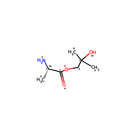 C[C@H](N)C(=O)OCC(C)(C)O